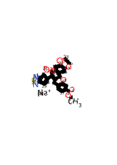 CCOC(=O)c1ccc(CC(C(=O)c2ccc3c(c2)OCCO3)=C(C(=O)[O-])c2ccc3nsnc3c2)cc1.[Na+]